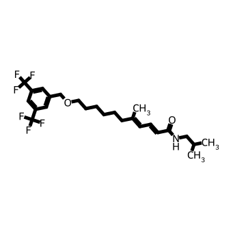 C/C(=C\C=C\C(=O)NCC(C)C)CCCCCCOCc1cc(C(F)(F)F)cc(C(F)(F)F)c1